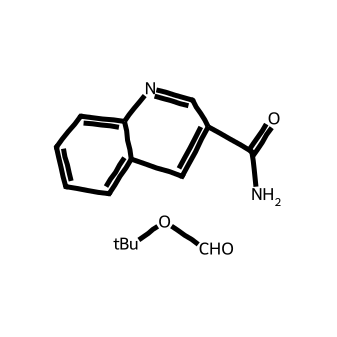 CC(C)(C)OC=O.NC(=O)c1cnc2ccccc2c1